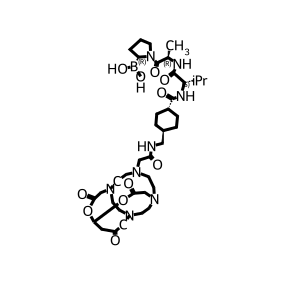 CC(C)[C@H](NC(=O)[C@H]1CC[C@H](CNC(=O)CN2CCN3CCN4CCN(CC2)CC(=O)OC(CC(=O)C4)OC(=O)C3)CC1)C(=O)N[C@H](C)C(=O)N1CCC[C@H]1B(O)O